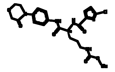 CC(C)(C)OC(=O)NCCC[C@@H](NC(=O)c1ccc(Cl)s1)C(=O)Nc1ccc(N2CCOCC2=O)cc1